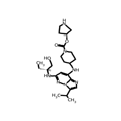 CC[C@H](CO)Nc1cc(NC2CCN(C(=O)O[C@H]3CCNC3)CC2)c2ncc(C(C)C)n2n1